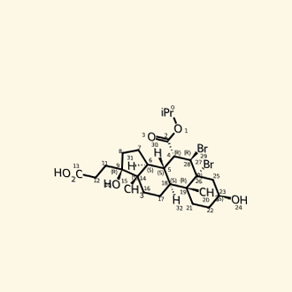 CC(C)OC(=O)[C@H]1[C@H]2[C@@H]3CC[C@@](O)(CCC(=O)O)[C@@]3(C)CC[C@@H]2[C@@]2(C)CC[C@H](O)C[C@]2(Br)[C@@H]1Br